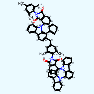 Cc1cc(C)c(N2C(=O)c3cccc(-n4c5ccccc5c5ccc(Cc6cc(C)c(N7C(=O)c8cccc(-n9c%10ccccc%10c%10cccc(-n%11c%12ccccc%12c%12ccccc%12%11)c%109)c8C7=O)c(C)c6)c(-c6ccccc6)c54)c3C2=O)c(C)c1